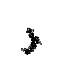 CCNC(=O)N1CCC(c2cc(-c3ccc(NC(=O)Nc4cc(C(F)(F)F)ccn4)c(F)c3)c3c(N)ncnn23)CC1